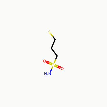 NS(=O)(=O)CCC[S]